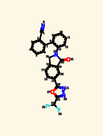 N#Cc1ccccc1-c1ccccc1N1Cc2ccc(-c3nnc(C(F)F)o3)cc2C1=O